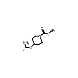 CC(C)OC(=O)N1CCC(O[C@H](C)N)CC1